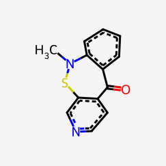 CN1Sc2cnccc2C(=O)c2ccccc21